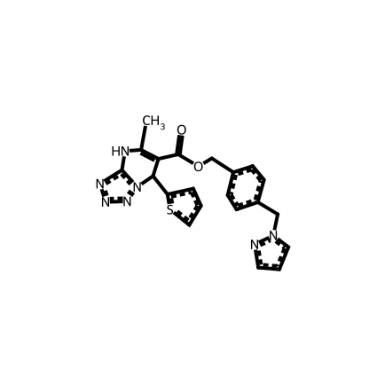 CC1=C(C(=O)OCc2ccc(Cn3cccn3)cc2)C(c2cccs2)n2nnnc2N1